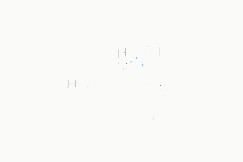 C[SiH2]N([SiH2]C[SiH3])[SiH2]C[SiH3]